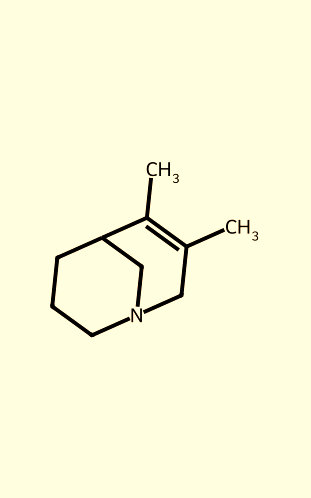 CC1=C(C)C2CCCN(C1)C2